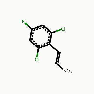 O=[N+]([O-])C=Cc1c(Cl)cc(F)cc1Cl